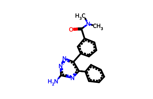 CN(C)C(=O)c1cccc(-c2nnc(N)nc2-c2ccccc2)c1